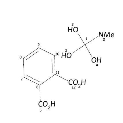 CNC(O)(O)O.O=C(O)c1ccccc1C(=O)O